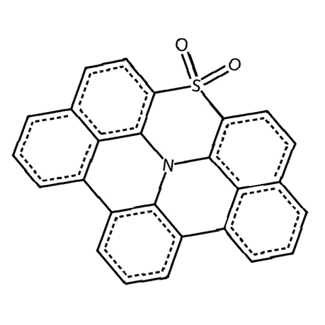 O=S1(=O)c2ccc3cccc4c3c2N2c3c-4cccc3-c3cccc4ccc1c2c34